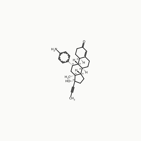 CC#C[C@]1(O)CC[C@H]2[C@@H]3CCC4=CC(=O)CC[C@@H]4[C@H]3[C@@H](c3ccc(N)cc3)C[C@@]21C